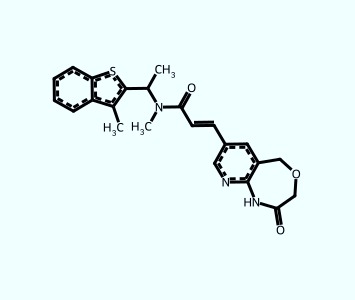 Cc1c(C(C)N(C)C(=O)/C=C/c2cnc3c(c2)COCC(=O)N3)sc2ccccc12